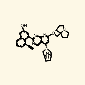 C#Cc1cccc2cc(O)cc(-c3ncc4c(N5CC6CCC(C5)N6)cc(OCC56CCCN5CCC6)nc4n3)c12